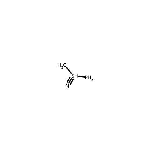 C[SH](#N)P